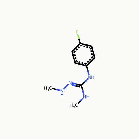 CNN=C(NC)Nc1ccc(F)cc1